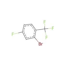 Fc1ccc(C(F)(F)F)c(Br)c1